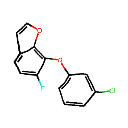 Fc1ccc2ccoc2c1Oc1cc[c]c(Cl)c1